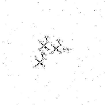 COP(=O)([O-])[O-].COP(=O)([O-])[O-].COP(=O)([O-])[O-].[Ni+3].[Ni+3]